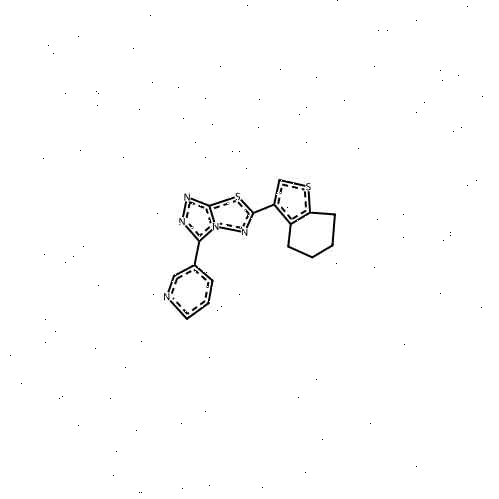 c1cncc(-c2nnc3sc(-c4csc5c4CCCC5)nn23)c1